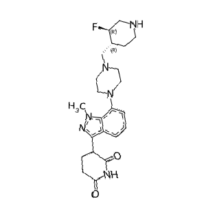 Cn1nc(C2CCC(=O)NC2=O)c2cccc(N3CCN(C[C@H]4CCNC[C@@H]4F)CC3)c21